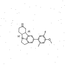 COc1cc(C)c(-c2cc3c4c(c2)[C@@H]2CNCC[C@@H]2N4CC3)cc1F